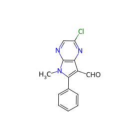 Cn1c(-c2ccccc2)c(C=O)c2nc(Cl)cnc21